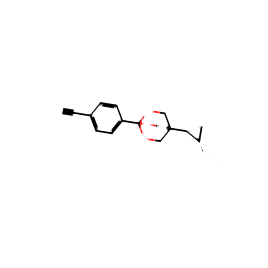 C#Cc1ccc(C23OCC([C@@H]4C[C@H]4C)(CO2)CO3)cc1